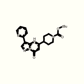 CC(C)(C)OC(=O)N1CCC(c2cc(=O)n3ncc(-c4ccccn4)c3[nH]2)CC1